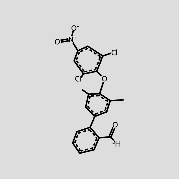 [2H]C(=O)c1ccccc1-c1cc(C)c(Oc2c(Cl)cc([N+](=O)[O-])cc2Cl)c(C)c1